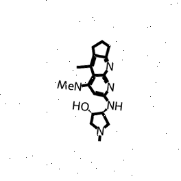 CNc1cc(N[C@H]2CN(C)C[C@@H]2O)nc2nc3c(c(C)c12)CCC3